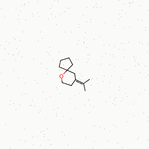 CC(C)=C1CCOC2(CCCC2)C1